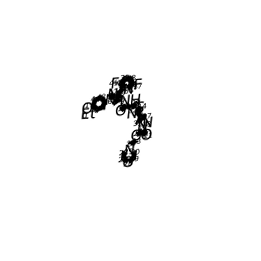 CCO[C@H]1CC[C@H](n2cc(NC(=O)c3csc(-c4cnn(C(=O)OCCN5CCOCC5)c4)n3)c(-c3nc(F)ccc3F)n2)CC1